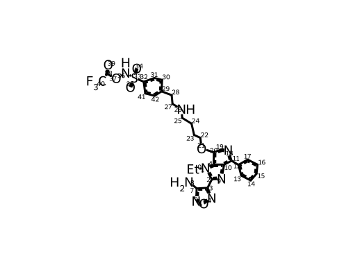 CCn1c(-c2nonc2N)nc2c(-c3ccccc3)ncc(OCCCCNCCc3ccc(S(=O)(=O)NOC(=O)C(F)(F)F)cc3)c21